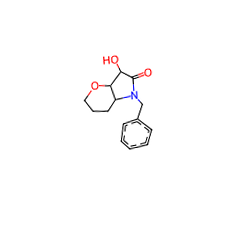 O=C1C(O)C2OCCCC2N1Cc1ccccc1